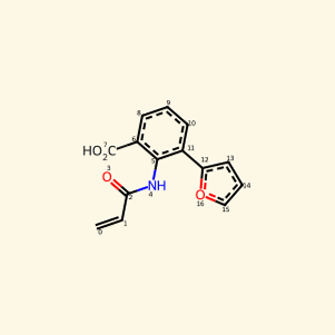 C=CC(=O)Nc1c(C(=O)O)cccc1-c1ccco1